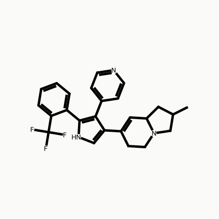 CC1CC2C=C(c3c[nH]c(-c4ccccc4C(F)(F)F)c3-c3ccncc3)CCN2C1